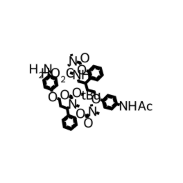 CC(=O)Nc1ccc(OCCC(CNC(=O)O)c2ccccc2OC(=O)N(C)C)cc1.CN(C)C(=O)Oc1ccccc1C(CCOc1ccc(N)cc1)N(C)C(=O)OC(C)(C)C